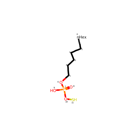 CCCCCCCCCCCOP(=O)(O)OS